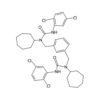 O=C(Nc1cc(Cl)ccc1Cl)N(Cc1cccc(CN(C(=O)Nc2cc(Cl)ccc2Cl)C2CCCCCC2)c1)C1CCCCCC1